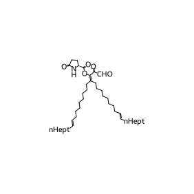 CCCCCCCC=CCCCCCCCCC(CCCCCCCCC=CCCCCCCC)=C(OC(=O)[C@@H]1CCC(=O)N1)C(=O)C=O